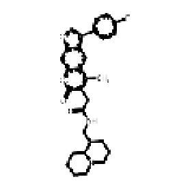 Cc1c(CC(=O)NCC2CCCN3CCCCC23)c(=O)oc2cc3occ(-c4ccc(F)cc4)c3cc12